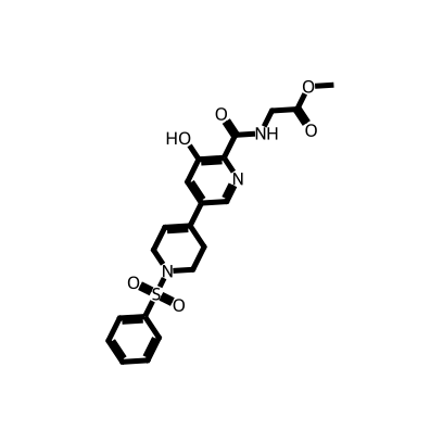 COC(=O)CNC(=O)c1ncc(C2=CCN(S(=O)(=O)c3ccccc3)CC2)cc1O